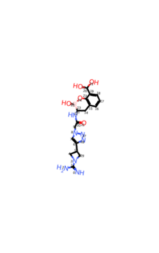 N=C(N)N1CC(c2cn(CC(=O)N[C@H]3Cc4cccc(C(O)O)c4OB3O)nn2)C1